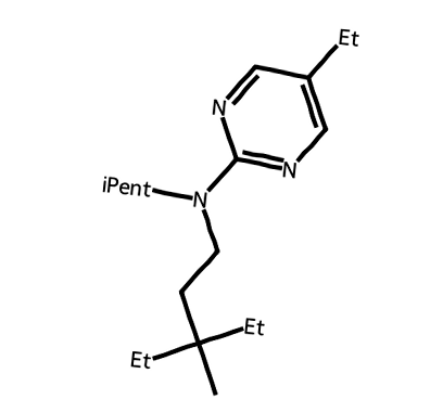 CCCC(C)N(CCC(C)(CC)CC)c1ncc(CC)cn1